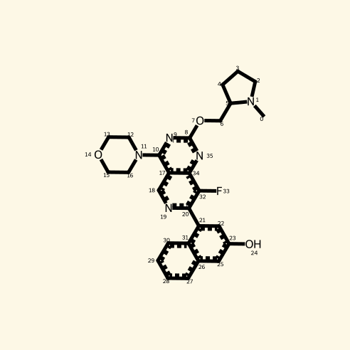 CN1CCCC1COc1nc(N2CCOCC2)c2cnc(-c3cc(O)cc4ccccc34)c(F)c2n1